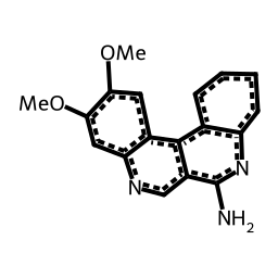 COc1cc2ncc3c(N)nc4ccccc4c3c2cc1OC